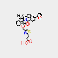 [2H]C([2H])(c1ccccc1OCc1csc(CCC(=O)O)n1)N(C(=O)c1ccc(-c2ccco2)cc1)C(C)C